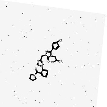 O=C(c1ccccc1-n1cnc(Cn2nc(-c3ccc(Cl)cc3)n(CC(O)C(F)(F)F)c2=O)n1)N1CCCC1